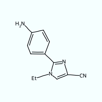 CCn1cc(C#N)nc1-c1ccc(N)cc1